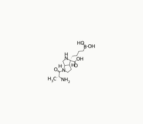 C[C@@H](N)C(=O)N1CC[C@H]2[C@@H]1CN[C@@]2(CCCCB(O)O)C(=O)O